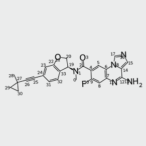 CN(C(=O)c1cc2c(cc1F)nc(N)c1cncn12)[C@@H]1COc2cc(C#CC3(C)CC3)ccc21